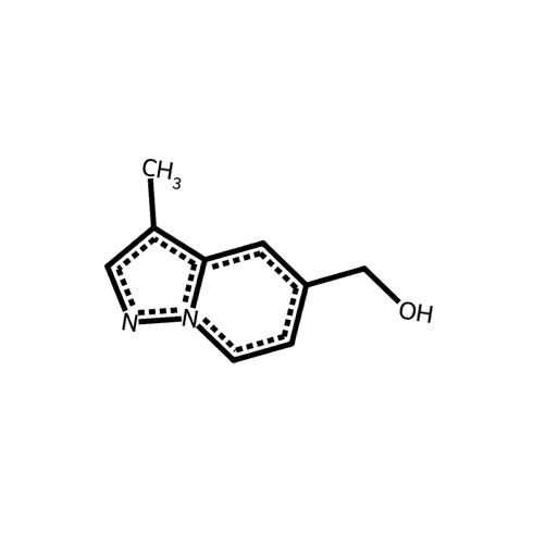 Cc1cnn2ccc(CO)cc12